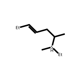 CCC=CCC(C)[SH](C)CC